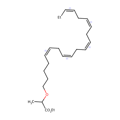 CC/C=C\C/C=C\C/C=C\C/C=C\C/C=C\CCCCOC(C)C(=O)OCC